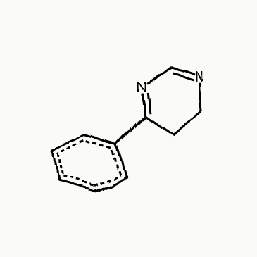 C1=NCCC(c2ccccc2)=N1